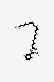 CCCCC/C=C\C/C=C\CCCCCCCC(=O)OC(C)c1ccccc1